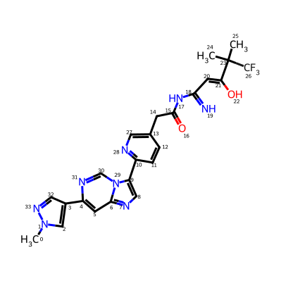 Cn1cc(-c2cc3ncc(-c4ccc(CC(=O)NC(=N)/C=C(\O)C(C)(C)C(F)(F)F)cn4)n3cn2)cn1